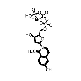 C=C1c2ccc(C)cc2C=CN1[C@H]1CC(O)[C@@H](COP(=O)(O)OP(=O)(O)OP(=O)(O)O)O1